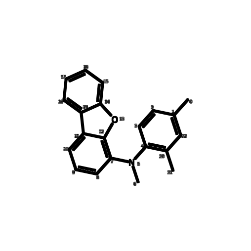 Cc1ccc(N(C)c2cccc3c2oc2ccccc23)c(C)c1